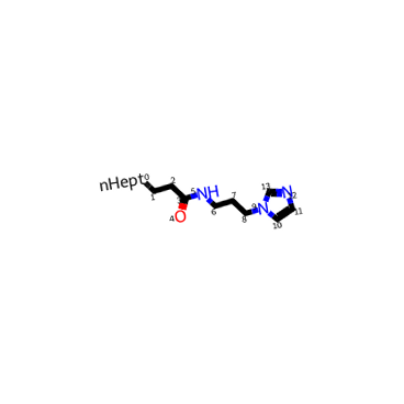 CCCCCCCCCC(=O)NCCCn1ccnc1